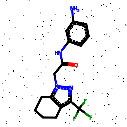 Nc1cccc(NC(=O)Cn2nc(C(F)(F)F)c3c2CCCC3)c1